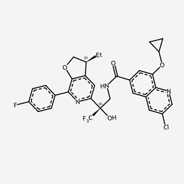 CC[C@@H]1COc2c1cc([C@@](O)(CNC(=O)c1cc(OC3CC3)c3ncc(Cl)cc3c1)C(F)(F)F)nc2-c1ccc(F)cc1